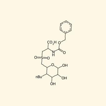 CCCCC1C(CS(=O)(=O)CC(NC(=O)OCc2ccccc2)C(=O)O)OC(O)C(O)C1O